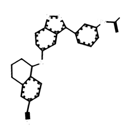 CC(=O)Nc1cccc(-c2n[nH]c3ccc(NC4CCCc5cc(C#N)ccc54)cc23)c1